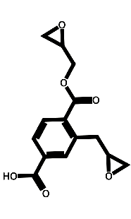 O=C(O)c1ccc(C(=O)OCC2CO2)c(CC2CO2)c1